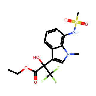 CCOC(=O)C(O)(c1cn(C)c2c(NS(C)(=O)=O)cccc12)C(F)(F)F